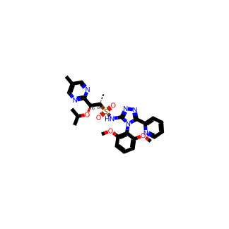 COc1cccc(OC)c1-n1c(NS(=O)(=O)[C@@H](C)[C@@H](OC(C)C)c2ncc(C)cn2)nnc1-c1ccccn1